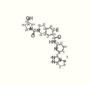 C[C@@H]1CCc2nnc(-c3cccc(NC(=O)c4cc5c(cc4F)CCN(C(=O)N4CC[C@@H](O)C4)C5)n3)n21